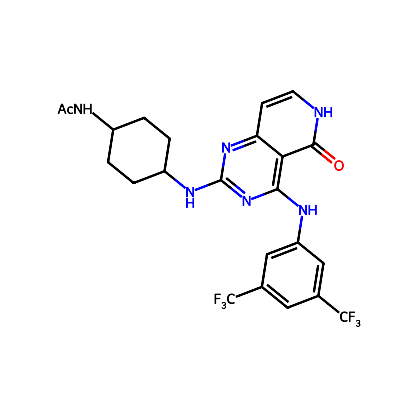 CC(=O)NC1CCC(Nc2nc(Nc3cc(C(F)(F)F)cc(C(F)(F)F)c3)c3c(=O)[nH]ccc3n2)CC1